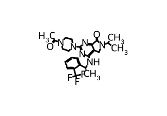 CC(=O)N1CCN(c2nc(NC(C)c3ccccc3C(F)(F)F)c3c(n2)C(=O)N(C(C)C)C3)CC1